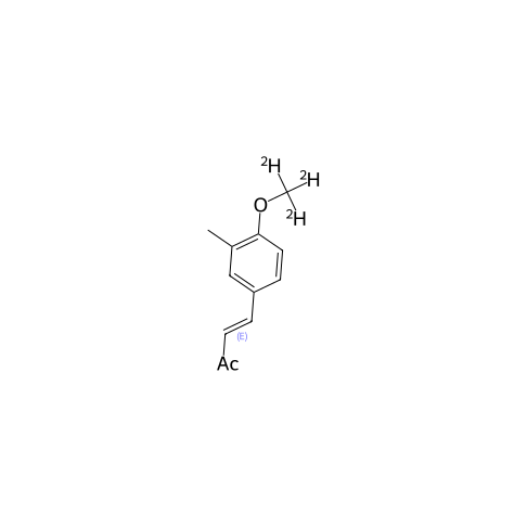 [2H]C([2H])([2H])Oc1ccc(/C=C/C(C)=O)cc1C